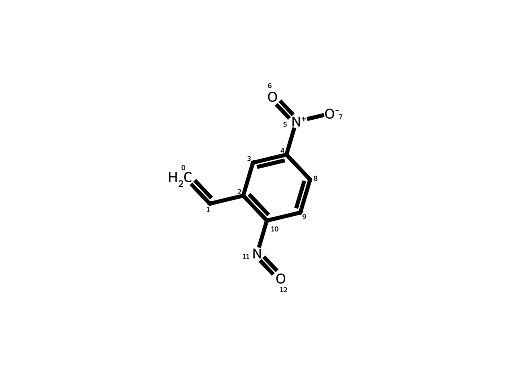 C=Cc1cc([N+](=O)[O-])ccc1N=O